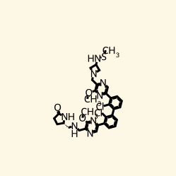 COc1nc(-c2cccc(-c3cccc(-c4cnc(CN5CC(NSC)C5)c(OC)n4)c3Cl)c2Cl)cnc1CNC[C@@H]1CCC(=O)N1